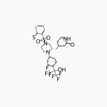 O=c1cc(C[C@H]2CN(S(=O)(=O)C3=CC=CCC3=S)CCN2c2ccc(C(O)(C(F)(F)F)C(F)(F)F)cc2)cc[nH]1